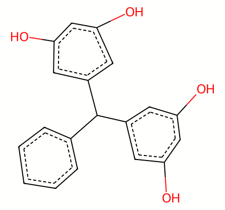 Oc1cc(O)cc(C(c2ccccc2)c2cc(O)cc(O)c2)c1